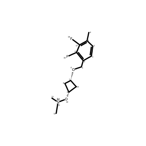 Cc1ccc(CO[C@H]2C[C@@H](O[SiH](C)C)C2)c(F)c1F